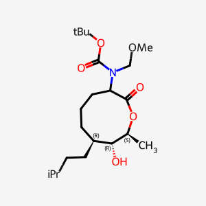 COCN(C(=O)OC(C)(C)C)C1CCC[C@H](CCC(C)C)[C@@H](O)[C@H](C)OC1=O